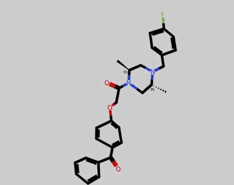 C[C@@H]1CN(C(=O)COc2ccc(C(=O)c3ccccc3)cc2)[C@@H](C)CN1Cc1ccc(F)cc1